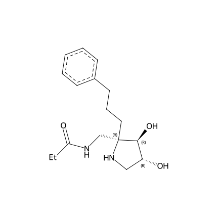 CCC(=O)NC[C@@]1(CCCc2ccccc2)NC[C@@H](O)[C@@H]1O